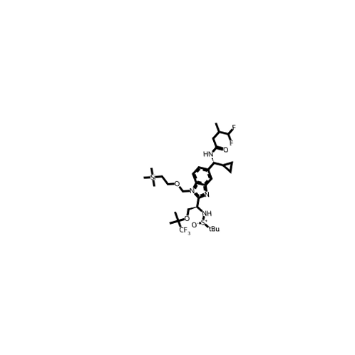 CC(CC(=O)N[C@@H](c1ccc2c(c1)nc([C@H](COC(C)(C)C(F)(F)F)N[S+]([O-])C(C)(C)C)n2COCC[Si](C)(C)C)C1CC1)C(F)F